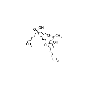 CCCCCCC(CCCC)(CCCCC(=O)C(CCCC)(CCCCCC)C(=O)O)C(=O)O